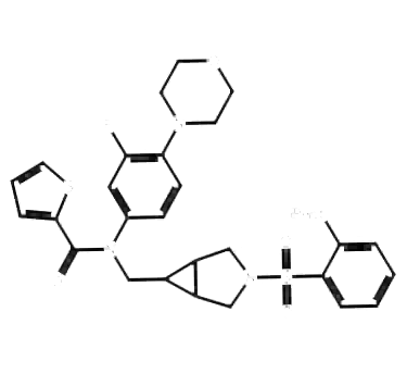 CCCC(C)c1ccccc1S(=O)(=O)N1CC2C(CN(C(=O)c3cccs3)c3ccc(N4CCOCC4)c(F)c3)C2C1